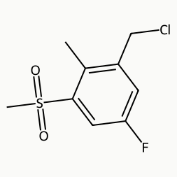 Cc1c(CCl)cc(F)cc1S(C)(=O)=O